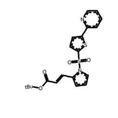 CC(C)(C)OC(=O)/C=C/c1cccn1S(=O)(=O)c1ccc(-c2ccccn2)s1